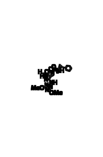 COc1nc(Nc2n[nH]c3c2CN(C(=O)NC2CC2c2ccccc2)C3(C)C)nc(OC)n1